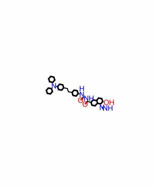 N=Nc1c(O)ccc2cc(C(=O)NC(=O)Nc3ccc(CCc4ccc(N(c5ccccc5)c5ccccc5)cc4)cc3)ccc12